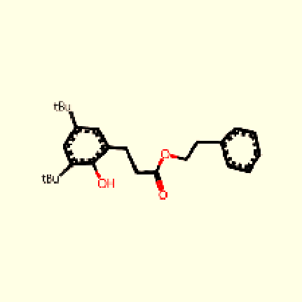 CC(C)(C)c1cc(CCC(=O)OCCc2ccccc2)c(O)c(C(C)(C)C)c1